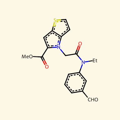 CCN(C(=O)Cn1c(C(=O)OC)cc2sccc21)c1cccc(C=O)c1